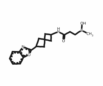 CB(O)CCC(=O)NC1CC2(C1)CC(c1nc3ccccc3o1)C2